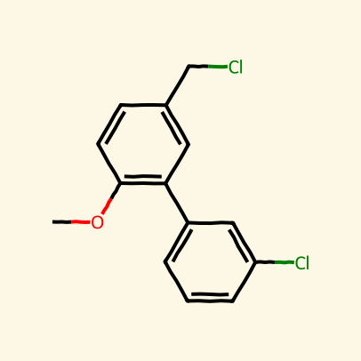 COc1ccc(CCl)cc1-c1cccc(Cl)c1